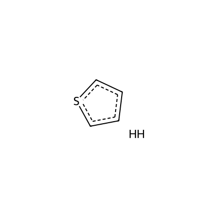 [HH].c1ccsc1